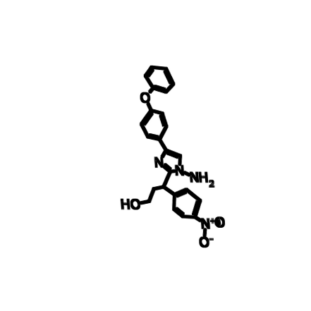 Nn1cc(-c2ccc(Oc3ccccc3)cc2)nc1C(CCO)c1ccc([N+](=O)[O-])cc1